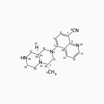 C[C@H]1CN(c2ccc(C#N)c3ncccc23)C[C@@H]2CNCCN21